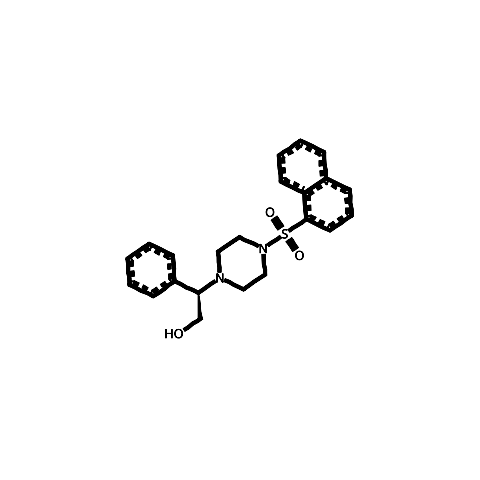 O=S(=O)(c1cccc2ccccc12)N1CCN([C@@H](CO)c2ccccc2)CC1